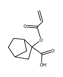 C=CC(=O)OC1(C(=O)O)CC2CCC1C2